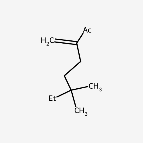 C=C(CCC(C)(C)CC)C(C)=O